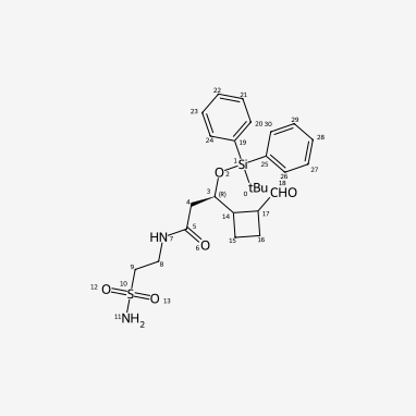 CC(C)(C)[Si](O[C@H](CC(=O)NCCS(N)(=O)=O)C1CCC1C=O)(c1ccccc1)c1ccccc1